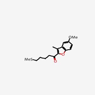 COc1ccc2oc(C(=O)CCCCSC)c(C)c2c1